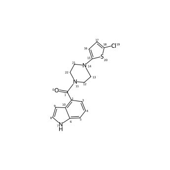 O=C(c1cccc2[nH]ccc12)N1CCN(c2ccc(Cl)s2)CC1